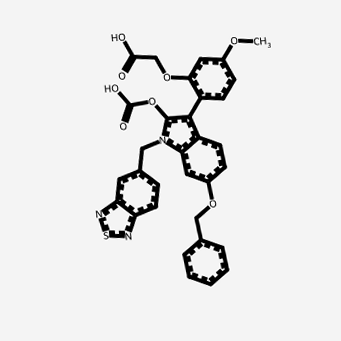 COc1ccc(-c2c(OC(=O)O)n(Cc3ccc4nsnc4c3)c3cc(OCc4ccccc4)ccc23)c(OCC(=O)O)c1